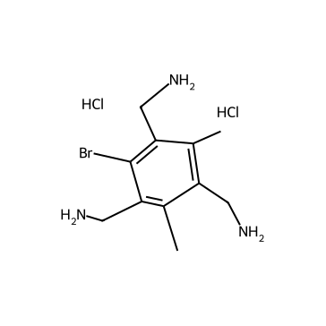 Cc1c(CN)c(C)c(CN)c(Br)c1CN.Cl.Cl